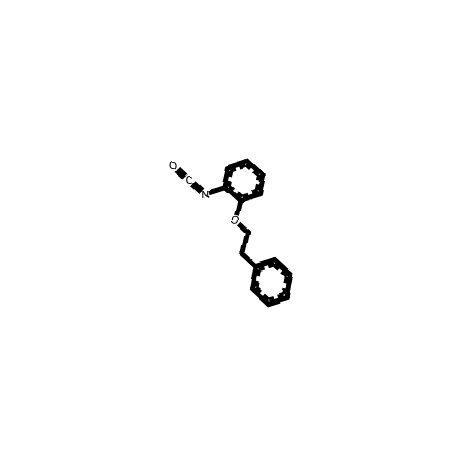 O=C=Nc1ccccc1OCCc1ccccc1